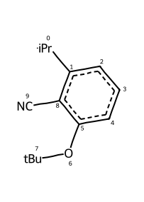 C[C](C)c1cccc(OC(C)(C)C)c1C#N